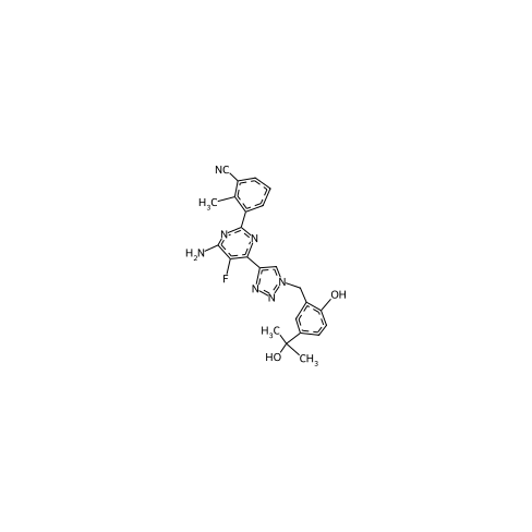 Cc1c(C#N)cccc1-c1nc(N)c(F)c(-c2cn(Cc3cc(C(C)(C)O)ccc3O)nn2)n1